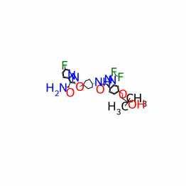 CC(C)(O)COc1ccc2c(C(=O)N[C@H]3CC[C@H](Oc4nn5cc(F)ccc5c4C(N)=O)CC3)nn(C(F)F)c2c1